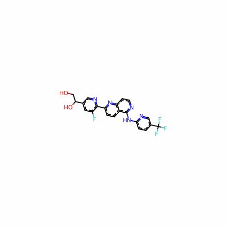 OCC(O)c1cnc(-c2ccc3c(Nc4ccc(C(F)(F)F)cn4)nccc3n2)c(F)c1